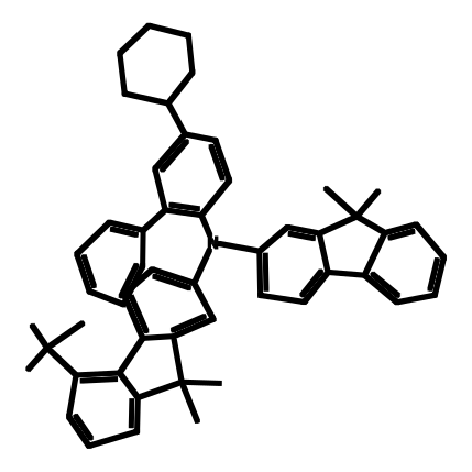 CC(C)(C)c1cccc2c1-c1ccc(N(c3ccc4c(c3)C(C)(C)c3ccccc3-4)c3ccc(C4CCCCC4)cc3-c3ccccc3)cc1C2(C)C